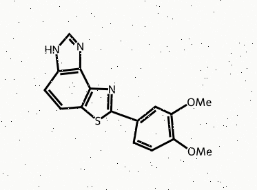 COc1ccc(-c2nc3c(ccc4[nH]cnc43)s2)cc1OC